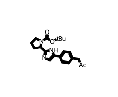 CC(=O)Cc1ccc(-c2cnc(C3CCCN3C(=O)OC(C)(C)C)[nH]2)cc1